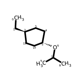 CC[C@H]1CC[C@H](OC(C)C)CC1